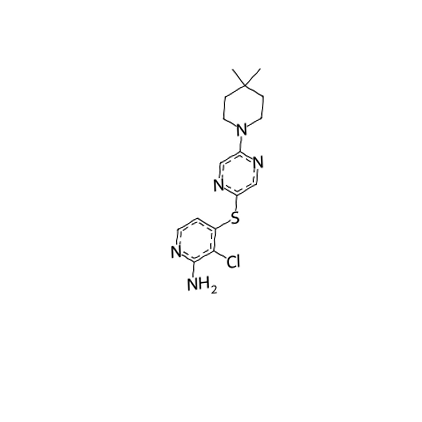 CC1(C)CCN(c2cnc(Sc3ccnc(N)c3Cl)cn2)CC1